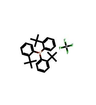 CC(C)(C)c1ccccc1[S+](c1ccccc1C(C)(C)C)c1ccccc1C(C)(C)C.F[B-](F)(F)F